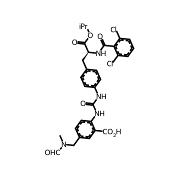 CC(C)OC(=O)[C@H](Cc1ccc(NC(=O)Nc2ccc(CN(C)C=O)cc2C(=O)O)cc1)NC(=O)c1c(Cl)cccc1Cl